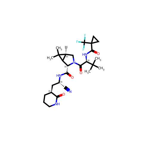 CC(C)(C)[C@H](NC(=O)C1(C(F)(F)F)CC1)C(=O)N1C[C@H]2C([C@H]1C(=O)N[C@H](C#N)C[C@@H]1CCCNC1=O)C2(C)C